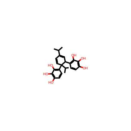 CC(C)C1=CC(c2ccc(O)c(O)c2O)C(c2ccc(O)c(O)c2O)(C(C)C)C=C1